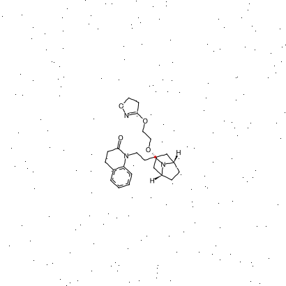 O=C1CCc2ccccc2N1CCCN1[C@@H]2CC[C@H]1C[C@@H](OCCOC1=NOCC1)C2